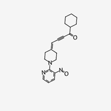 O=Nc1cccnc1N1CCC(=CC#CC(=O)C2CCCCC2)CC1